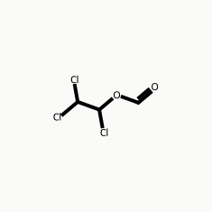 O=COC(Cl)C(Cl)Cl